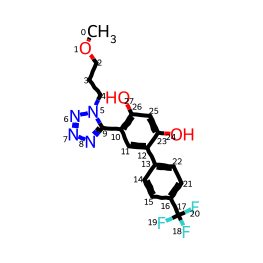 COCCCn1nnnc1-c1cc(-c2ccc(C(F)(F)F)cc2)c(O)cc1O